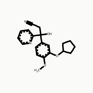 COc1ccc(C(O)(CC#N)c2ccccn2)cc1OC1CCCC1